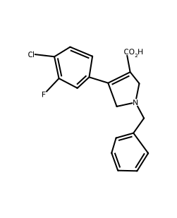 O=C(O)C1=C(c2ccc(Cl)c(F)c2)CN(Cc2ccccc2)C1